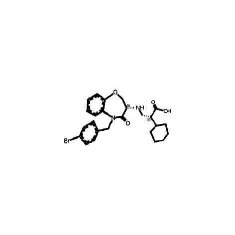 O=C(O)[C@@H](CN[C@H]1COc2ccccc2N(Cc2ccc(Br)cc2)C1=O)C1CCCCC1